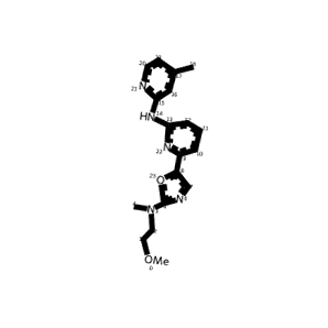 COCCN(C)c1ncc(-c2cccc(Nc3cc(C)ccn3)n2)o1